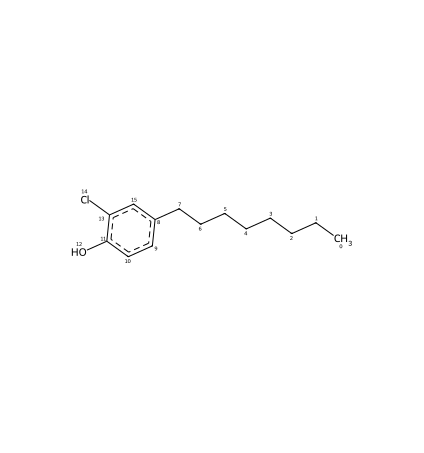 CCCCCCCCc1ccc(O)c(Cl)c1